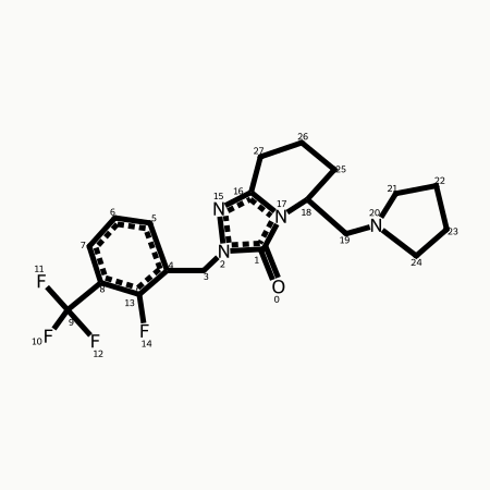 O=c1n(Cc2cccc(C(F)(F)F)c2F)nc2n1C(CN1CCCC1)CCC2